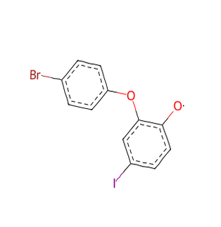 [O]c1ccc(I)cc1Oc1ccc(Br)cc1